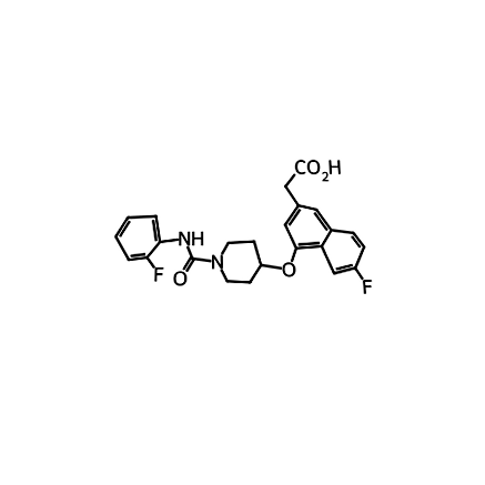 O=C(O)Cc1cc(OC2CCN(C(=O)Nc3ccccc3F)CC2)c2cc(F)ccc2c1